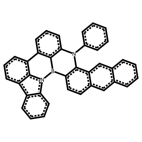 c1ccc(N2c3cccc4c3B(c3ccc5cc6ccccc6cc5c32)n2c3ccccc3c3cccc-4c32)cc1